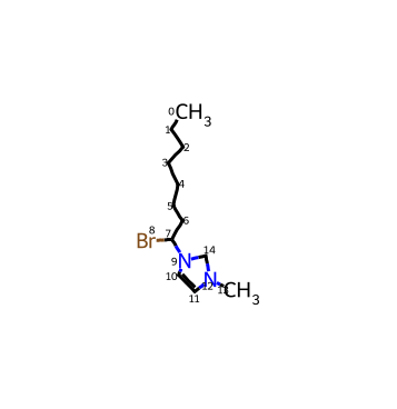 CCCCCCCC(Br)N1C=CN(C)C1